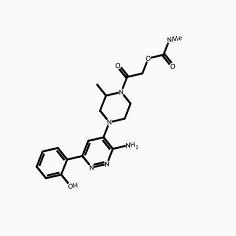 CNC(=O)OCC(=O)N1CCN(c2cc(-c3ccccc3O)nnc2N)CC1C